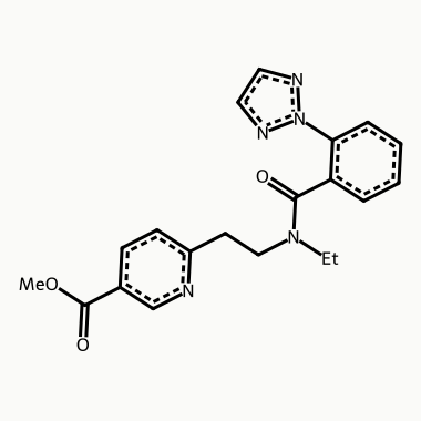 CCN(CCc1ccc(C(=O)OC)cn1)C(=O)c1ccccc1-n1nccn1